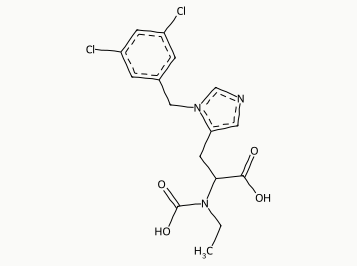 CCN(C(=O)O)C(Cc1cncn1Cc1cc(Cl)cc(Cl)c1)C(=O)O